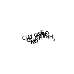 NNC(=O)c1csc(SCC(=O)NC[C@H]2CN(CC3C=C(Cl)C(Cl)=CC3)CCO2)n1